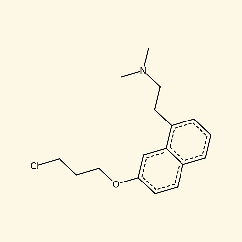 CN(C)CCc1cccc2ccc(OCCCCl)cc12